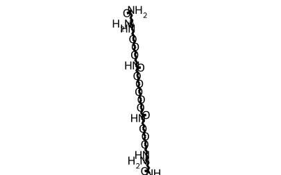 NC(=O)CCC[C@H](N)CNCCCOCCOCCOCCCNC(=O)CCOCCOCCOCCOCCOCCC(=O)NCCCOCCOCCOCCCNC[C@@H](N)CCCC(N)=O